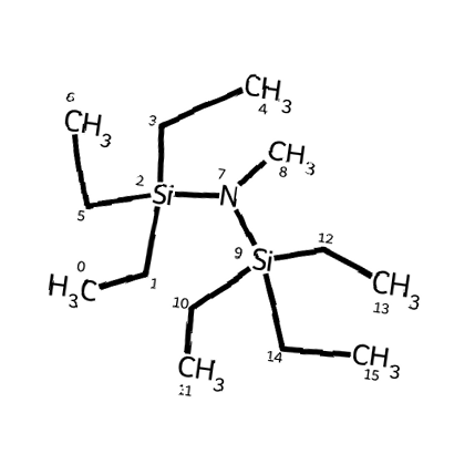 CC[Si](CC)(CC)N(C)[Si](CC)(CC)CC